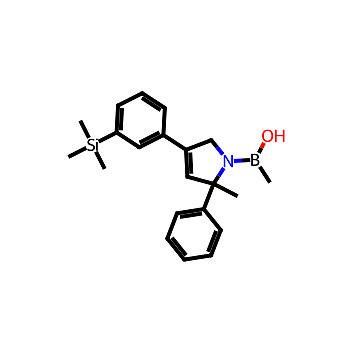 CB(O)N1CC(c2cccc([Si](C)(C)C)c2)=CC1(C)c1ccccc1